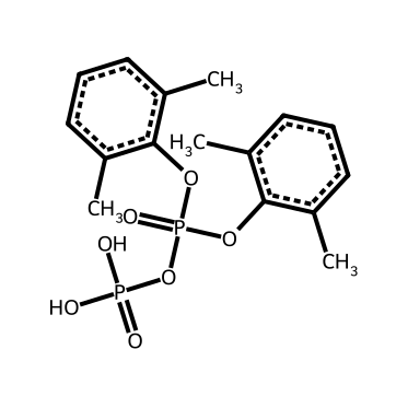 Cc1cccc(C)c1OP(=O)(Oc1c(C)cccc1C)OP(=O)(O)O